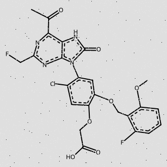 COc1cccc(F)c1COc1cc(-n2c(=O)[nH]c3c(C(C)=O)nc(CF)nc32)c(Cl)cc1OCC(=O)O